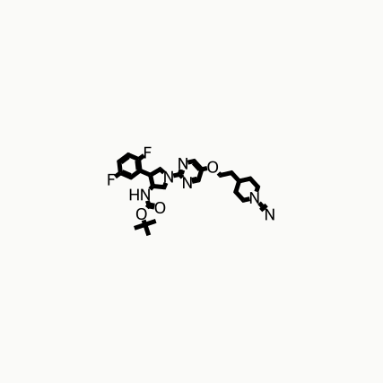 CC(C)(C)OC(=O)NC1CN(c2ncc(OCCC3CCN(C#N)CC3)cn2)CC1c1cc(F)ccc1F